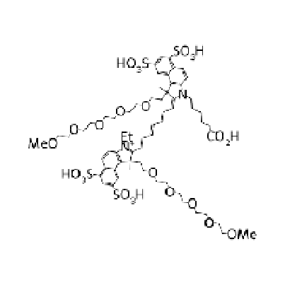 CC[N+]1=C(/C=C/C=C/C=C/C=C2/N(CCCCCC(=O)O)c3ccc4c(S(=O)(=O)O)cc(S(=O)(=O)O)cc4c3C2(C)CCOCCOCCOCCOCCOC)C(C)(CCOCCOCCOCCOCCOC)c2c1ccc1c(S(=O)(=O)O)cc(S(=O)(=O)O)cc21